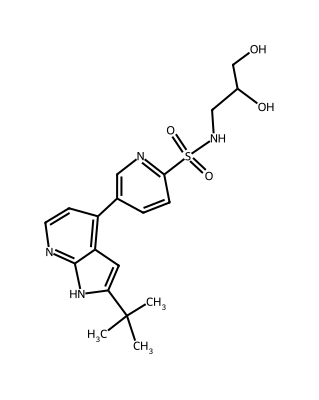 CC(C)(C)c1cc2c(-c3ccc(S(=O)(=O)NCC(O)CO)nc3)ccnc2[nH]1